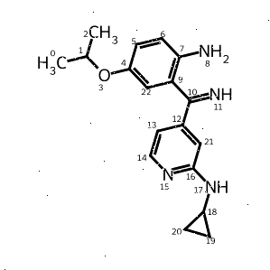 CC(C)Oc1ccc(N)c(C(=N)c2ccnc(NC3CC3)c2)c1